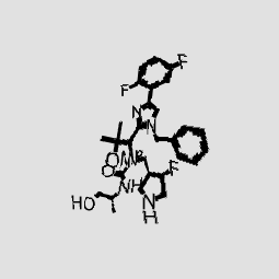 COC(C)(C)C(c1nc(-c2cc(F)ccc2F)cn1Cc1ccccc1)N(C[C@@H]1CNC[C@@H]1F)C(=O)N[C@@H](C)CO